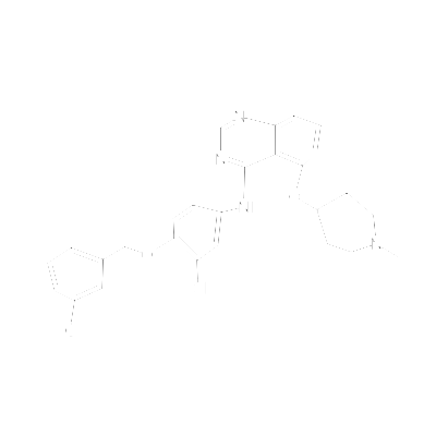 CN1CCC(Oc2cccc3ncnc(Nc4ccc(OCc5cccc(Cl)c5)c(Cl)c4)c23)CC1